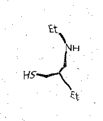 CCNC(S)CC